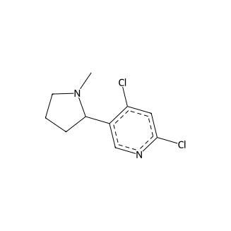 CN1CCCC1c1cnc(Cl)cc1Cl